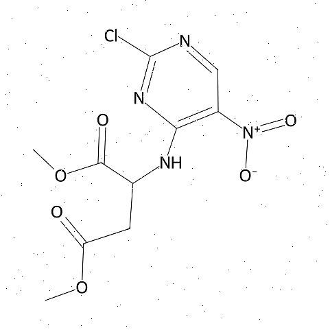 COC(=O)CC(Nc1nc(Cl)ncc1[N+](=O)[O-])C(=O)OC